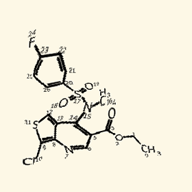 CCOC(=O)c1cnc2c(Cl)scc2c1N(C)S(=O)(=O)c1ccc(F)cc1